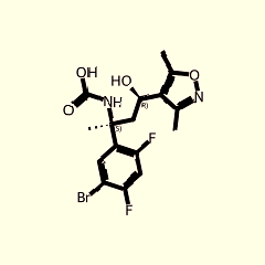 Cc1noc(C)c1[C@H](O)C[C@](C)(NC(=O)O)c1cc(Br)c(F)cc1F